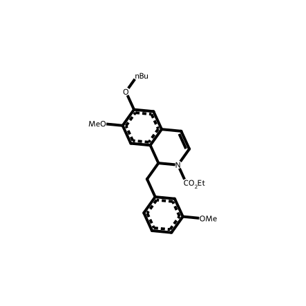 CCCCOc1cc2c(cc1OC)C(Cc1cccc(OC)c1)N(C(=O)OCC)C=C2